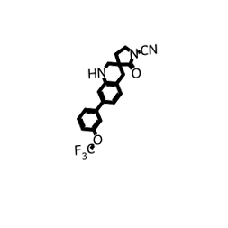 N#CN1CCC2(CNc3cc(-c4cccc(OC(F)(F)F)c4)ccc3C2)C1=O